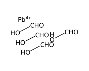 O=[C-]O.O=[C-]O.O=[C-]O.O=[C-]O.[Pb+4]